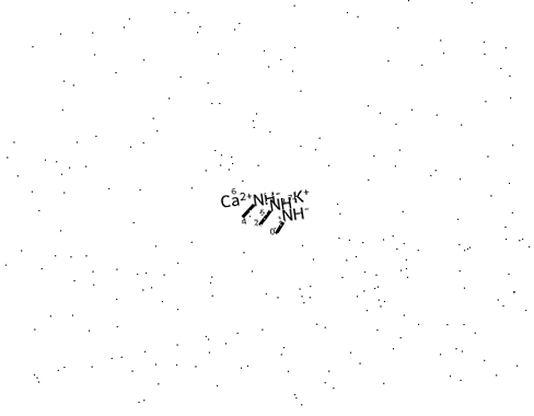 C[NH-].C[NH-].C[NH-].[Ca+2].[K+]